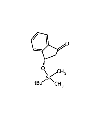 CC(C)(C)[Si](C)(C)O[C@H]1CC(=O)c2ccccc21